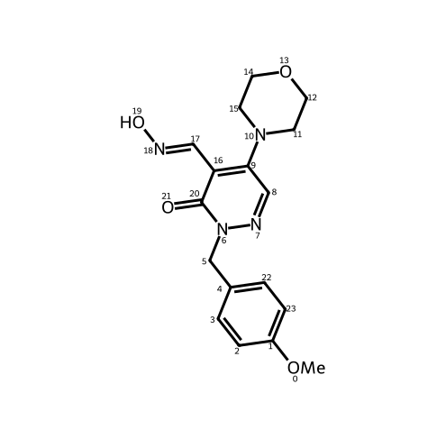 COc1ccc(Cn2ncc(N3CCOCC3)c(/C=N/O)c2=O)cc1